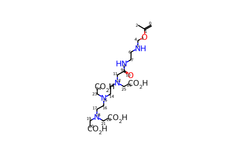 C=C(C)OCNCCNC(=O)CN(CCN(CCN(CC(=O)O)CC(=O)O)CC(=O)O)CC(=O)O